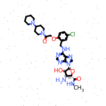 CNC(=O)[C@H]1O[C@@H](n2cnc3c(NCc4cc(Cl)ccc4OCC(=O)N4CCC(N5CCCCC5)CC4)ncnc32)[C@H](O)[C@@H]1N